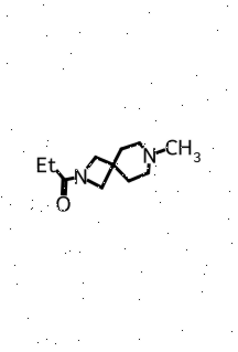 CCC(=O)N1CC2(CCN(C)CC2)C1